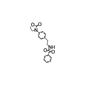 O=C1OCCN1c1ccc(CCNS(=O)(=O)c2ccccc2)cc1